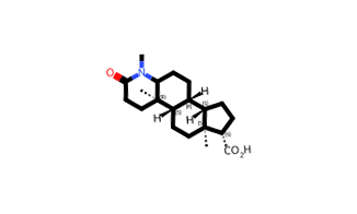 CN1C(=O)CC[C@@]2(C)C1CC[C@@H]1[C@@H]3CC[C@H](C(=O)O)[C@@]3(C)CC[C@@H]12